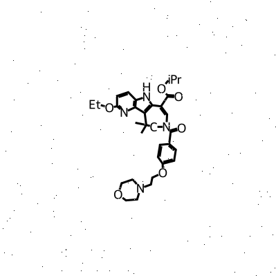 CCOc1ccc2[nH]c3c(c2n1)C(C)(C)CN(C(=O)c1ccc(OCCN2CCOCC2)cc1)C=C3C(=O)OC(C)C